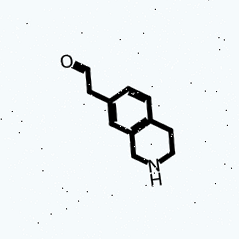 O=CCc1ccc2c(c1)CNCC2